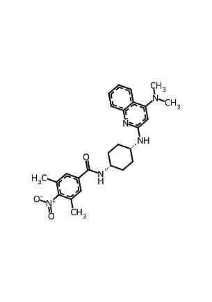 Cc1cc(C(=O)N[C@H]2CC[C@@H](Nc3cc(N(C)C)c4ccccc4n3)CC2)cc(C)c1[N+](=O)[O-]